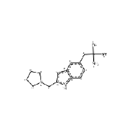 CCCC(N)(O)Cc1ccc2[nH]c(CN3CCCC3)cc2c1